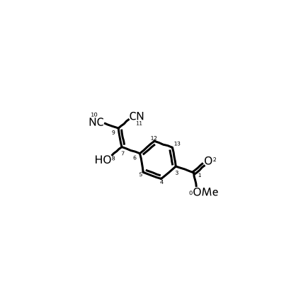 COC(=O)c1ccc(C(O)=C(C#N)C#N)cc1